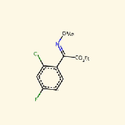 CCOC(=O)C(=NOC)c1c[c]c(F)cc1Cl